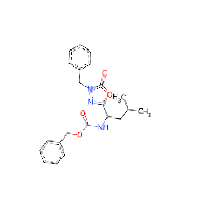 CC(C)CC(NC(=O)OCc1ccccc1)c1nn(Cc2ccccc2)c(=O)o1